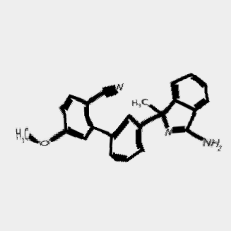 COc1ccc(C#N)c(-c2cccc(C3(C)N=C(N)c4ccccc43)c2)c1